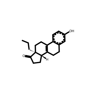 CCC[C@]12CCC3=C(CCc4cc(O)ccc43)[C@@H]1CCC2=O